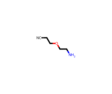 N#CCCOCCN